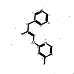 C/C(=C\Oc1cc(C)ccn1)Cc1ccccc1